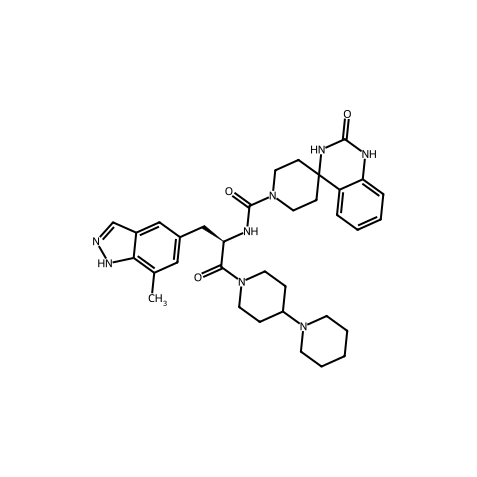 Cc1cc(C[C@@H](NC(=O)N2CCC3(CC2)NC(=O)Nc2ccccc23)C(=O)N2CCC(N3CCCCC3)CC2)cc2cn[nH]c12